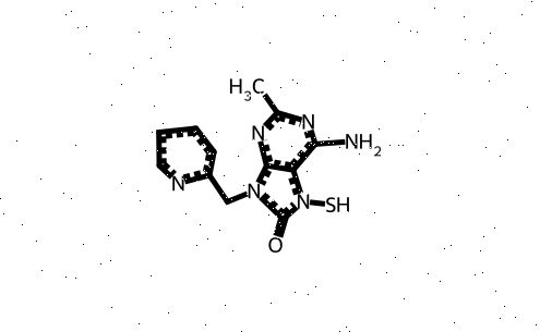 Cc1nc(N)c2c(n1)n(Cc1ccccn1)c(=O)n2S